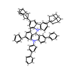 c1ccc(-c2ccc(N3c4ccc(-c5ccccc5)cc4B4c5c(cc(-c6ccccc6)cc53)-c3cc(C56CC7CC8CC7(C5)C8C6)cc5c6cc(C78CC9CC%10CC(C7)C%109C8)ccc6n4c35)cc2)cc1